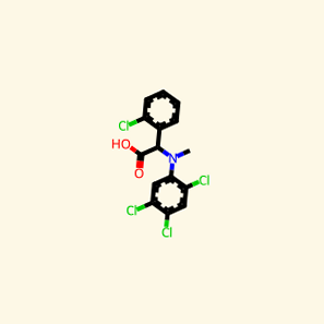 CN(c1cc(Cl)c(Cl)cc1Cl)C(C(=O)O)c1ccccc1Cl